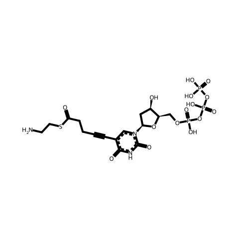 NCCSC(=O)CCC#Cc1cn([C@H]2C[C@@H](O)[C@@H](COP(=O)(O)OP(=O)(O)OP(=O)(O)O)O2)c(=O)[nH]c1=O